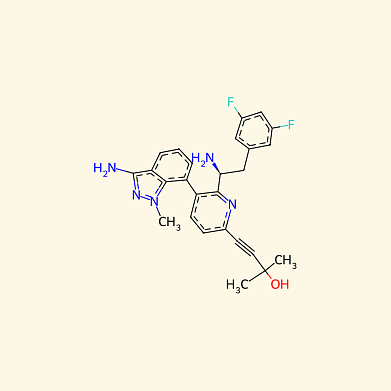 Cn1nc(N)c2cccc(-c3ccc(C#CC(C)(C)O)nc3[C@@H](N)Cc3cc(F)cc(F)c3)c21